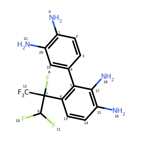 Nc1ccc(-c2c(C(F)(C(F)F)C(F)(F)F)ccc(N)c2N)cc1N